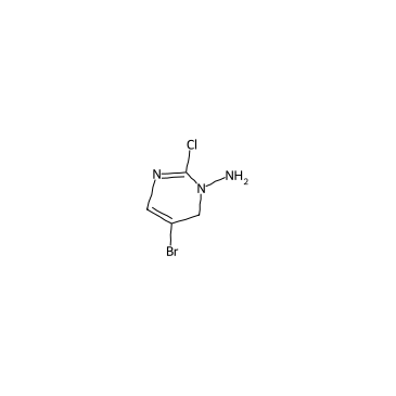 NN1CC(Br)=CN=C1Cl